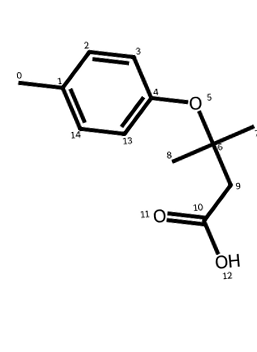 Cc1ccc(OC(C)(C)CC(=O)O)cc1